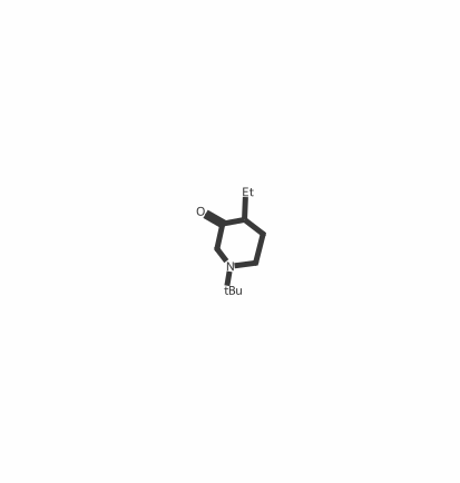 CCC1CCN(C(C)(C)C)CC1=O